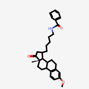 COc1ccc2c(c1)CCC1C2CC[C@]2(C)C(=O)CC(CCCCCNC(=O)c3ccccc3)C12